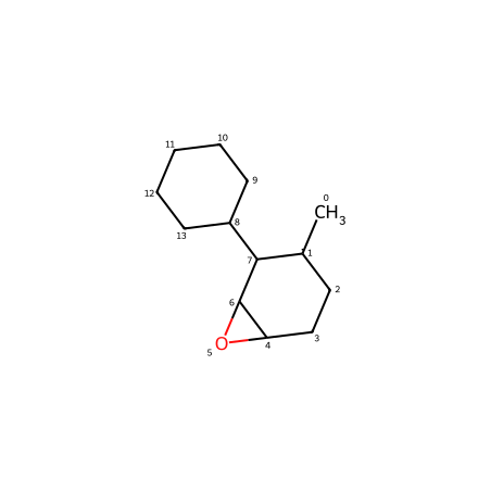 C[C]1CCC2OC2C1C1CCCCC1